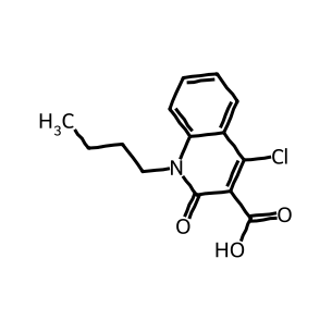 CCCCn1c(=O)c(C(=O)O)c(Cl)c2ccccc21